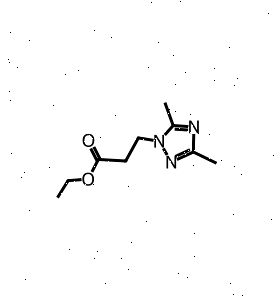 CCOC(=O)CCn1nc(C)nc1C